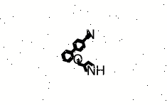 N#Cc1ccc(-c2ccccc2OCC2CCNC2)cc1